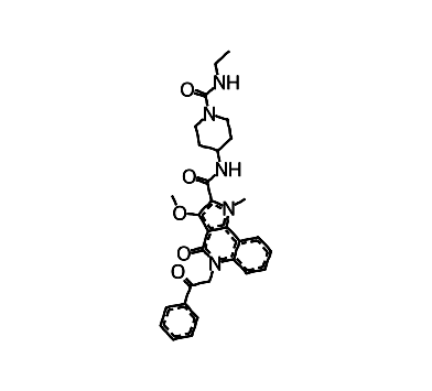 CCNC(=O)N1CCC(NC(=O)c2c(OC)c3c(=O)n(CC(=O)c4ccccc4)c4ccccc4c3n2C)CC1